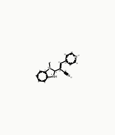 CN1c2ccccc2NC1/C(C#N)=C/c1ccncc1